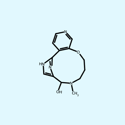 CN1CCCOc2cnccc2-c2nc(c[nH]2)C1O